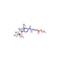 COC(=O)CCCNC(=O)N1CCN(C(=O)OC(C)(C)C)C(C)(C)C1